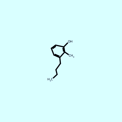 CCCCc1cc[c]c(O)c1C